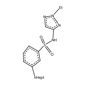 CCCCCCCc1cccc(S(=O)(=O)Nc2cnn(CC)n2)c1